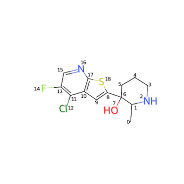 CC1NCCCC1(O)c1cc2c(Cl)c(F)cnc2s1